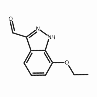 CCOc1cccc2c(C=O)n[nH]c12